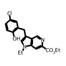 CCOC(=O)c1cc2c(cn1)c(Cc1cc(Cl)ccc1O)cn2CC